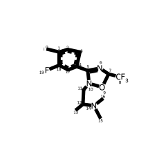 [CH]c1ccc(C2=NC(C(F)(F)F)ON2CC(C)N(C)C)cc1F